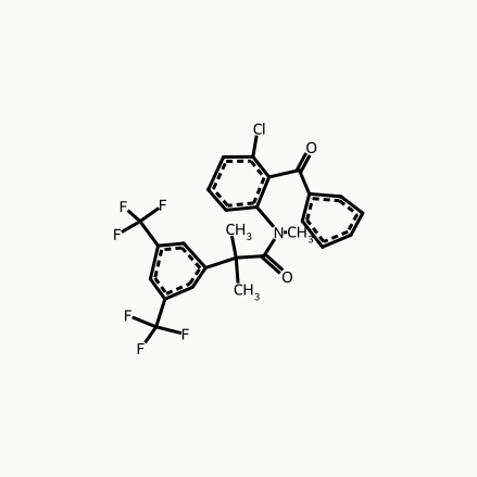 CN(C(=O)C(C)(C)c1cc(C(F)(F)F)cc(C(F)(F)F)c1)c1cccc(Cl)c1C(=O)c1ccccc1